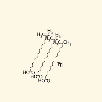 CC(C)CCCCCCCCCCCCCCC(=O)O.CC(C)CCCCCCCCCCCCCCC(=O)O.CC(C)CCCCCCCCCCCCCCC(=O)O.[Ti].[Ti]